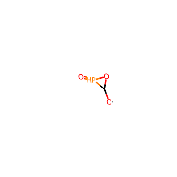 [O]C1O[PH]1=O